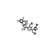 CN(C(=O)C(CC1CC1)n1cc(C2CC2)nn1)C(CC1CC1)C(=O)N1C[C@@]2(C[C@H]1C#N)Oc1cc(F)cc(F)c1NC2=O